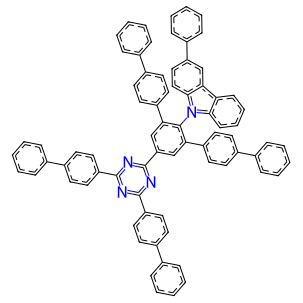 c1ccc(-c2ccc(-c3nc(-c4ccc(-c5ccccc5)cc4)nc(-c4cc(-c5ccc(-c6ccccc6)cc5)c(-n5c6ccccc6c6cc(-c7ccccc7)ccc65)c(-c5ccc(-c6ccccc6)cc5)c4)n3)cc2)cc1